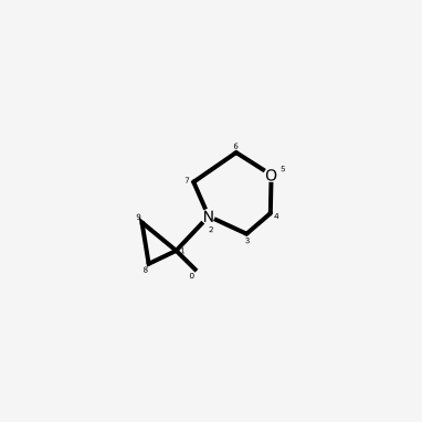 CC1(N2CCOCC2)CC1